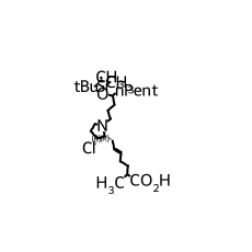 CCCCCC(CCCN1CC[C@@H](Cl)[C@H]1CC=CCCC(C)C(=O)O)O[Si](C)(C)C(C)(C)C